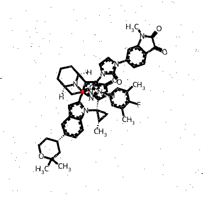 Cc1cc(-n2nc3c(c2-n2ccn(-c4ccc5c(c4)N(C)C(=O)C5=O)c2=O)[C@@H]2CCC[C@H](C3)N2C(=O)c2cc3cc([C@H]4CCOC(C)(C)C4)ccc3n2[C@@]2(c3noc(=O)[nH]3)C[C@@H]2C)cc(C)c1F